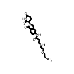 NCCOCCNCCC(=O)Nc1ccc2c(c1)CN(C1CCC(=O)NC1=O)C2=O